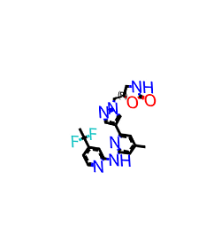 Cc1cc(Nc2cc(C(C)(F)F)ccn2)nc(-c2cnn(C[C@H]3CNC(=O)O3)c2)c1